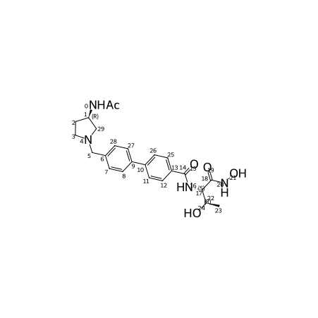 CC(=O)N[C@@H]1CCN(Cc2ccc(-c3ccc(C(=O)N[C@H](C(=O)NO)[C@@H](C)O)cc3)cc2)C1